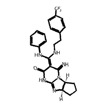 N=c1/c(=C(\NCCc2ccc(C(F)(F)F)cc2)Nc2ccccc2)c(=O)[nH]c2n1[C@H]1CCC[C@H]1N=2